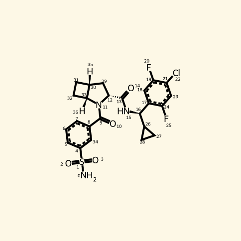 NS(=O)(=O)c1cccc(C(=O)N2[C@@H](C(=O)N[C@@H](c3cc(F)c(Cl)cc3F)C3CC3)C[C@H]3CC[C@H]32)c1